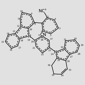 N#Cc1cccc(C#N)c1-c1cccc2c3ccccc3n(-c3ccc(-n4c5c(c6ccccc64)C=CCC5)cc3)c12